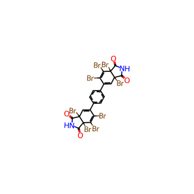 O=C1NC(=O)C2(Br)C(Br)=C(Br)C(c3ccc(C4=CC5(Br)C(=O)NC(=O)C5(Br)C(Br)=C4Br)cc3)=CC12Br